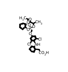 CC1OC(C(C)OP(=O)(COc2cc(Cl)c(Nc3ccccc3CC(=O)O)c(Cl)c2)Oc2ccccc2)O1